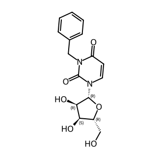 O=c1ccn([C@@H]2O[C@H](CO)[C@@H](O)[C@H]2O)c(=O)n1Cc1ccccc1